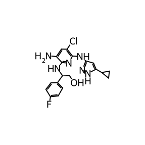 Nc1cc(Cl)c(Nc2cc(C3CC3)[nH]n2)nc1N[C@@H](CO)c1ccc(F)cc1